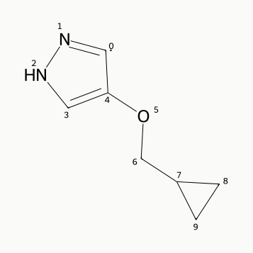 [c]1n[nH]cc1OCC1CC1